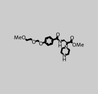 COCCOCOc1ccc(C(=O)NC[C@@H](C(=O)OC)N2CCNCC2)cc1